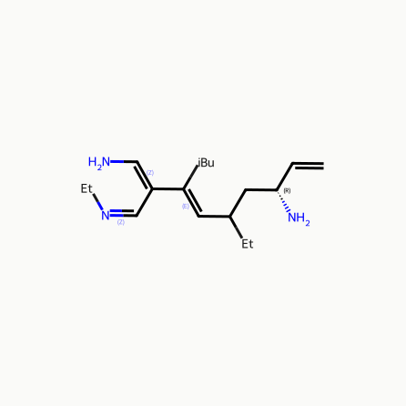 C=C[C@H](N)CC(/C=C(C(/C=N\CC)=C/N)\C(C)CC)CC